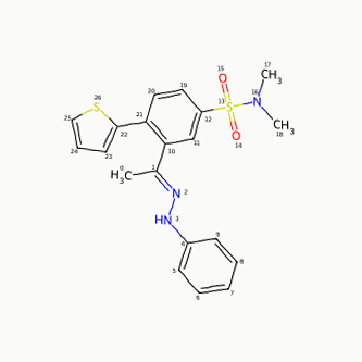 C/C(=N\Nc1ccccc1)c1cc(S(=O)(=O)N(C)C)ccc1-c1cccs1